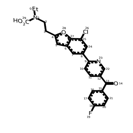 CCN(CCc1cc2cc(-c3ccc(C(=O)c4ccc(F)cc4)cn3)cc(Cl)c2o1)C(=O)O